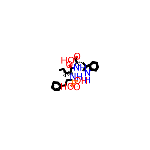 CC[C@H](C)[C@H](NC(CCc1ccccc1)P(=O)(O)O)C(=O)N[C@@H](Cc1c[nH]c2ccccc12)C(=O)O